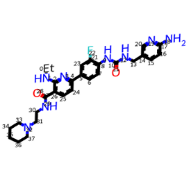 CCNc1nc(-c2ccc(NC(=O)NCc3ccc(N)nc3)c(F)c2)ccc1C(=O)NCCN1CCCCC1